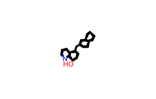 Oc1ccc(Cc2ccc3ccccc3c2)c2cccnc12